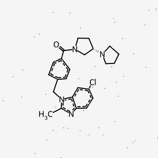 Cc1nc2ccc(Cl)cc2n1Cc1ccc(C(=O)N2CC[C@H](N3CCCC3)C2)cc1